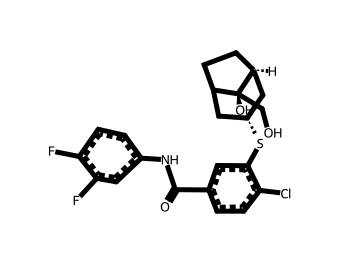 O=C(Nc1ccc(F)c(F)c1)c1ccc(Cl)c(S[C@@H]2CC3CC[C@@H](C2)[C@]3(O)CO)c1